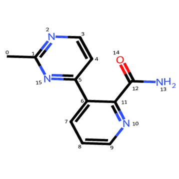 Cc1nccc(-c2cccnc2C(N)=O)n1